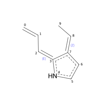 C=C/C=c1/[nH]cc/c1=C/C